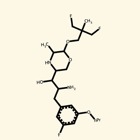 CCCOc1cc(F)cc(CC(N)C(O)C2COC(OCC(C)(CF)CF)C(C)N2)c1